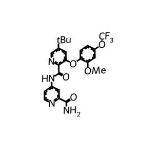 COc1cc(OC(F)(F)F)ccc1Oc1cc(C(C)(C)C)cnc1C(=O)Nc1ccnc(C(N)=O)c1